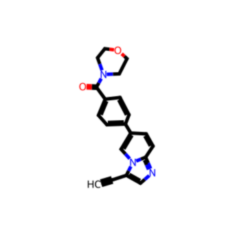 C#Cc1cnc2ccc(-c3ccc(C(=O)N4CCOCC4)cc3)cn12